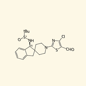 CC(C)(C)[S+]([O-])N[C@@H]1c2ccccc2CC12CCN(c1nc(Cl)c(C=O)s1)CC2